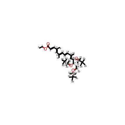 CCOC(=O)C=CC(C)=CC(C)=CC=CC(C)=C[C@H](O[Si](C)(C)C(C)(C)C)[C@H](C[C@H](C)O[Si](C)(C)C(C)(C)C)O[Si](C)(C)C(C)(C)C